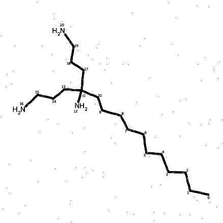 CCCCCCCCCCCC(N)(CCCN)CCCN